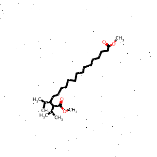 COC(=O)CCCCCCCCCCCCCCC(C(C)C)C(C(=O)OC)C(C)C